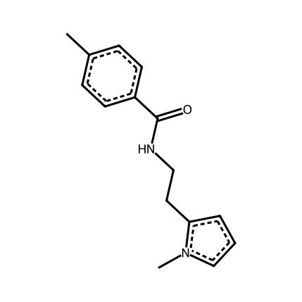 Cc1ccc(C(=O)NCCc2cccn2C)cc1